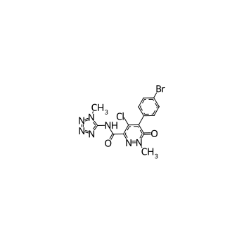 Cn1nnnc1NC(=O)c1nn(C)c(=O)c(-c2ccc(Br)cc2)c1Cl